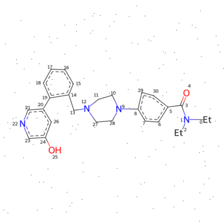 CCN(CC)C(=O)c1ccc(N2CCN(Cc3ccccc3-c3cncc(O)c3)CC2)cc1